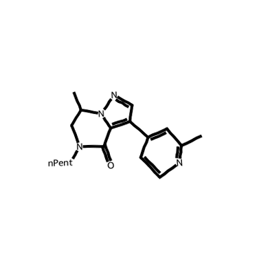 CCCCCN1CC(C)n2ncc(-c3ccnc(C)c3)c2C1=O